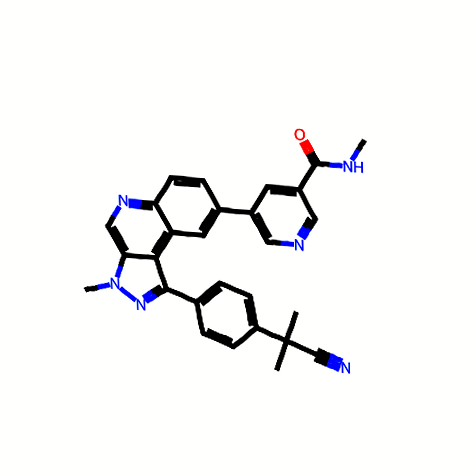 CNC(=O)c1cncc(-c2ccc3ncc4c(c(-c5ccc(C(C)(C)C#N)cc5)nn4C)c3c2)c1